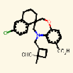 C[C@]1(C=O)CC[C@@H]1CN1CC2(CCCc3cc(Cl)ccc32)COc2ccc(C(=O)O)cc21